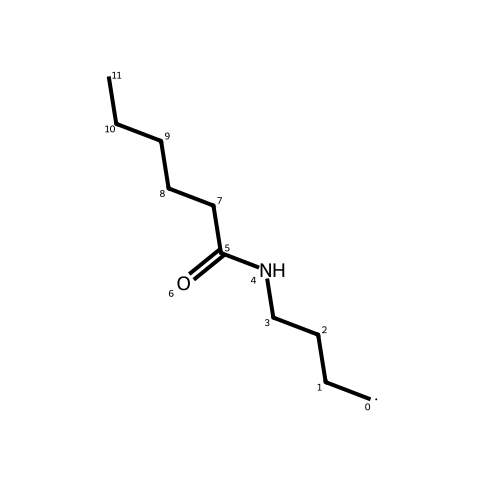 [CH2]CCCNC(=O)CCCCC